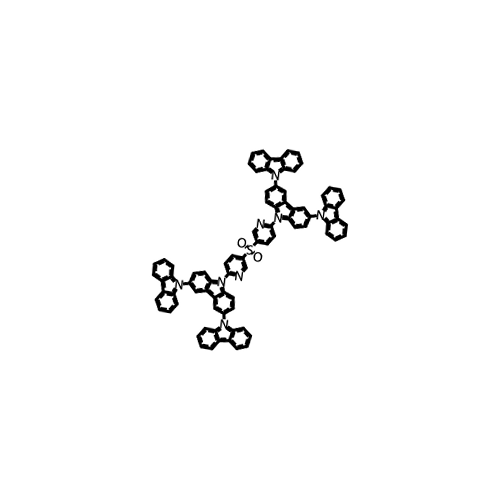 O=S(=O)(c1ccc(-n2c3ccc(-n4c5ccccc5c5ccccc54)cc3c3cc(-n4c5ccccc5c5ccccc54)ccc32)nc1)c1ccc(-n2c3ccc(-n4c5ccccc5c5ccccc54)cc3c3cc(-n4c5ccccc5c5ccccc54)ccc32)nc1